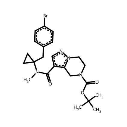 CN(C(=O)c1cnn2c1CN(C(=O)OC(C)(C)C)CC2)C1(Cc2ccc(Br)cc2)CC1